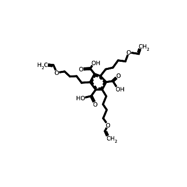 C=COCCCCc1c(C(=O)O)c(CCCCOC=C)c(C(=O)O)c(CCCCOC=C)c1C(=O)O